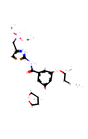 CCOP(=O)(Cc1csc(NC(=O)c2cc(O[C@@H]3CCOC3)cc(O[C@@H](C)COC)c2)n1)OCC